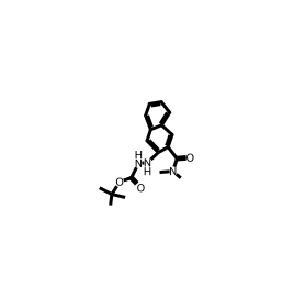 CN(C)C(=O)c1cc2ccccc2cc1NNC(=O)OC(C)(C)C